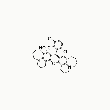 O=C(O)c1c(Cl)ccc(Cl)c1C1=c2cc3c4c(c2Oc2c1cc1c5c2CCCN5CCCC1)CCC[N+]=4CCCC3